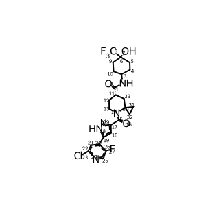 O=C(NC1CCC(O)(C(F)(F)F)CC1)[C@H]1CCN(C(=O)c2cc(-c3cc(Cl)ncc3F)[nH]n2)C2(CC2)C1